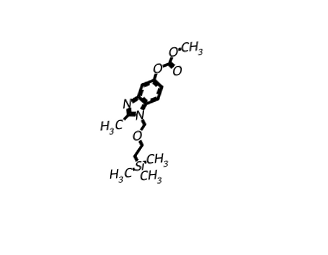 COC(=O)Oc1ccc2c(c1)nc(C)n2COCC[Si](C)(C)C